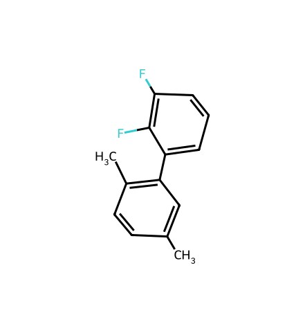 Cc1ccc(C)c(-c2cccc(F)c2F)c1